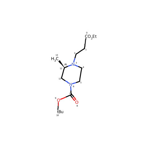 CCOC(=O)CCN1CCN(C(=O)OC(C)(C)C)C[C@H]1C